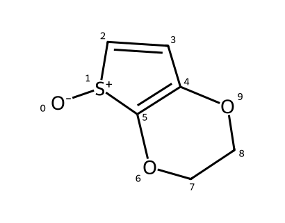 [O-][s+]1ccc2c1OCCO2